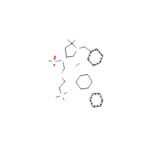 CCC1(CC)C[C@@H](N(COCC[Si](C)(C)C)S(C)(=O)=O)[C@@H](CO[C@H]2CC[C@@H](c3ccccc3)CC2)N1Cc1ccccc1